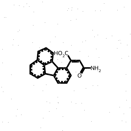 NC(=O)/C=C(/C(=O)O)c1cccc2c1-c1cccc3cccc-2c13